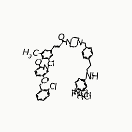 Cc1cc(C=CC(=O)N2CCN(Cc3ccc(CCNc4ccc(F)cc4)cc3)CC2)cc(Cl)c1Oc1ccc(OCc2ccccc2Cl)cn1.Cl.Cl